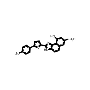 CC(C)(C)c1ccc(-c2ccc(-c3nc4c(ccc5cc(C(=O)O)cc(O)c54)[nH]3)s2)cc1